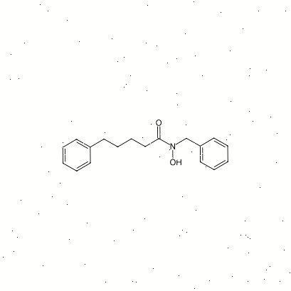 O=C(CCCCc1ccccc1)N(O)Cc1ccccc1